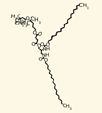 CCCCCCCCCCCCCCCCCCOC(=O)NCC(COC(=O)CCC(=O)OCCCC(C)(C)OCCC(C)(C)OC)NC(=O)OCCCCCCCCCCCCCCCCCC